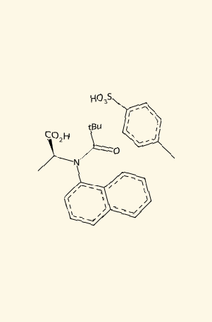 C[C@@H](C(=O)O)N(C(=O)C(C)(C)C)c1cccc2ccccc12.Cc1ccc(S(=O)(=O)O)cc1